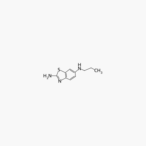 CCCNc1ccc2nc(N)sc2c1